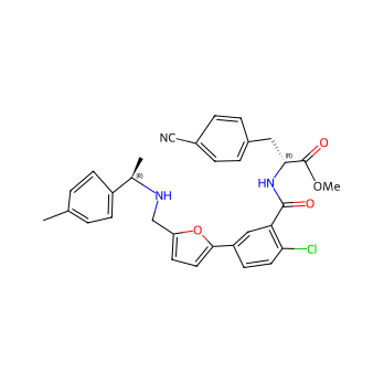 COC(=O)[C@@H](Cc1ccc(C#N)cc1)NC(=O)c1cc(-c2ccc(CN[C@H](C)c3ccc(C)cc3)o2)ccc1Cl